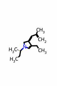 C=C(C)/C=C1/CN([C@@H](C)CC)C=C1CC